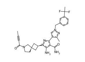 CC#CC(=O)N1CC[C@]2(C1)C[C@H](n1nc(-c3cn(Cc4cccc(C(C)(F)F)c4)nc3C)c(C(N)=O)c1N)C2